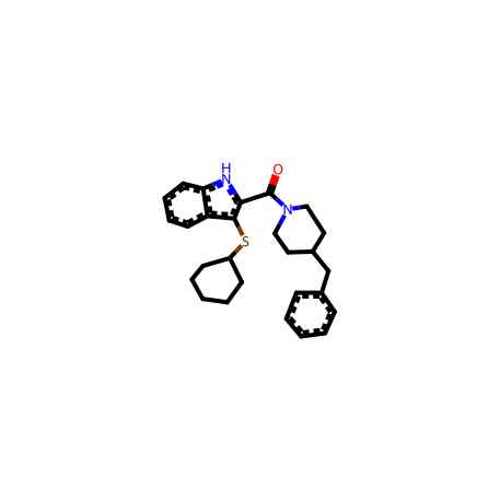 O=C(c1[nH]c2ccccc2c1SC1CCCCC1)N1CCC(Cc2ccccc2)CC1